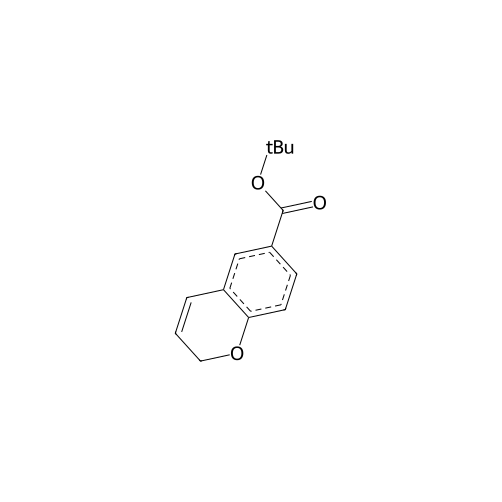 CC(C)(C)OC(=O)c1ccc2c(c1)C=CCO2